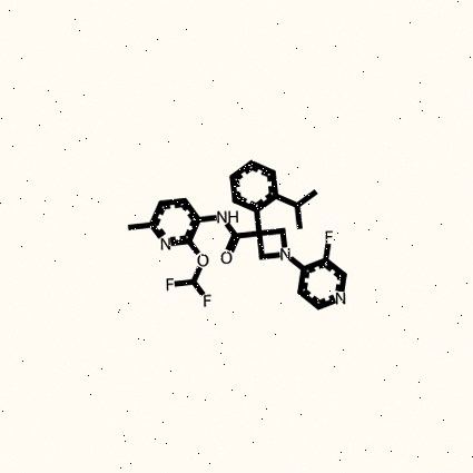 Cc1ccc(NC(=O)C2(c3ccccc3C(C)C)CN(c3ccncc3F)C2)c(OC(F)F)n1